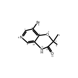 CC1(C)Oc2c(Br)cncc2NC1=O